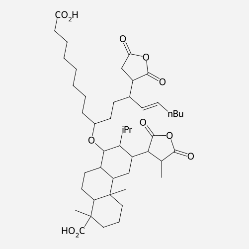 CCCC/C=C/C(CCC(CCCCCCCC(=O)O)OC1C2CCC3C(C)(C(=O)O)CCCC3(C)C2CC(C2C(=O)OC(=O)C2C)C1C(C)C)C1CC(=O)OC1=O